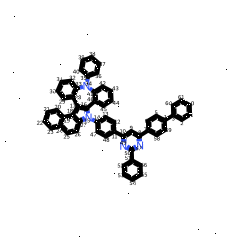 c1ccc(-c2ccc(-c3cc(-c4ccc(-n5c6c(c7c8ccccc8ccc75)-c5ccccc5N(c5ccccc5)c5ccccc5-6)cc4)nc(-c4ccccc4)n3)cc2)cc1